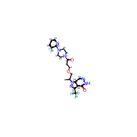 CC(COCCC(=O)N1CCN(c2ncccc2F)CC1)n1nc(C(F)(F)F)c2c(=O)[nH]ncc21